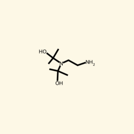 CC(C)(O)N(CCN)C(C)(C)O